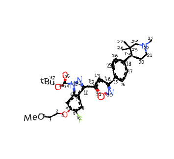 COCCOc1cc2c(cc1F)c(-c1cc(-c3ccc(C4CCN(C)CC4(C)C)cc3)no1)nn2C(=O)OC(C)(C)C